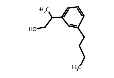 [CH2]C(CO)c1cccc(CCCC)c1